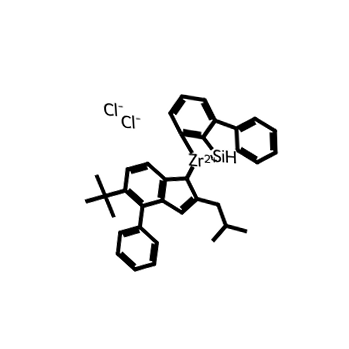 CC(C)CC1=Cc2c(ccc(C(C)(C)C)c2-c2ccccc2)[CH]1[Zr+2]1[c]2cccc3c2[SiH]1c1ccccc1-3.[Cl-].[Cl-]